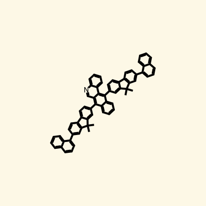 CC1(C)c2cc(-c3cccc4ccccc34)ccc2-c2ccc(-c3c4ccccc4c(-c4ccc5c(c4)C(C)(C)c4cc(-c6cccc7ccccc67)ccc4-5)c4c3cnc3ccccc34)cc21